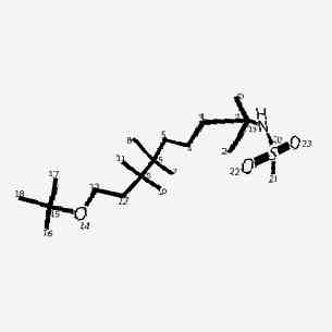 CC(C)(CCCC(C)(C)C(C)(C)CCOC(C)(C)C)NS(C)(=O)=O